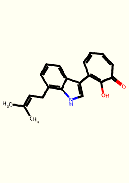 CC(C)=CCc1cccc2c(-c3ccccc(=O)c3O)c[nH]c12